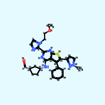 COCCn1ccnc1-c1nc(N[C@@H]2CC[C@H](C=O)C2)c2c(-c3ccccc3)c(-c3ccn(C)n3)sc2n1